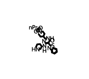 CCCS(=O)(=O)N1CCC(c2nc(N[C@@H]3CCCNC3)c(-c3nc4ccccc4s3)c(=O)[nH]2)CC1